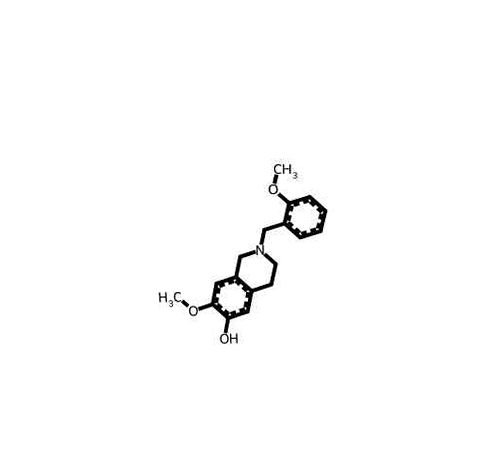 COc1cc2c(cc1O)CCN(Cc1ccccc1OC)C2